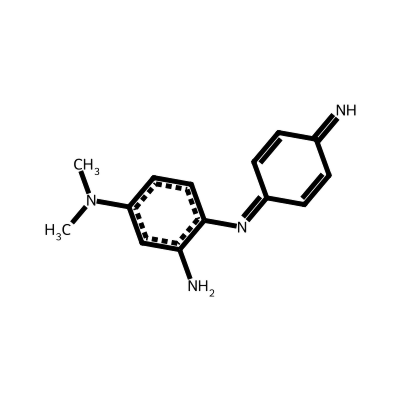 CN(C)c1ccc(N=C2C=CC(=N)C=C2)c(N)c1